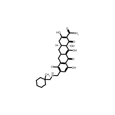 CC1(CNCc2cc(O)c3c(c2Cl)CC2C[C@H]4CC(O)=C(C(N)=O)C(=O)[C@@]4(O)C(O)=C2C3=O)CCCCC1